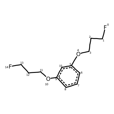 FCCCOc1cccc(OCCCF)c1